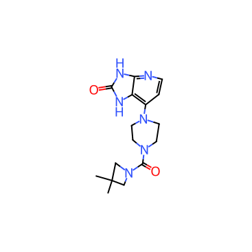 CC1(C)CN(C(=O)N2CCN(c3ccnc4[nH]c(=O)[nH]c34)CC2)C1